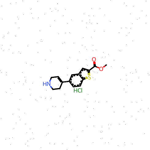 COC(=O)c1cc2cc(C3=CCNCC3)ccc2s1.Cl